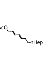 CCCCCCCCCC=CC=CCOC(C)=O